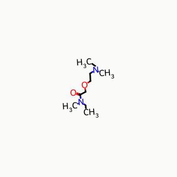 CCN(C)CCOCC(=O)N(C)CC